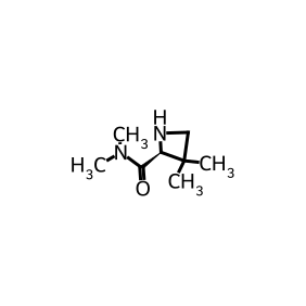 CN(C)C(=O)[C@H]1NCC1(C)C